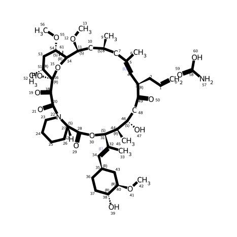 C=CC[C@@H]1/C=C(\C)C[C@H](C)C[C@H](OC)[C@H]2O[C@@](O)(C(=O)C(=O)N3CCCC[C@H]3C(=O)O[C@H](/C(C)=C/[C@@H]3CC[C@@H](O)[C@H](OC)C3)[C@H](C)[C@@H](O)CC1=O)[C@H](C)C[C@@H]2OC.NC(=O)O